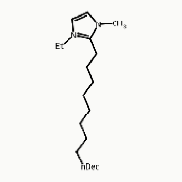 CCCCCCCCCCCCCCCCCCc1n(C)cc[n+]1CC